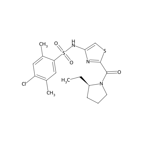 CC[C@@H]1CCCN1C(=O)c1nc(NS(=O)(=O)c2cc(C)c(Cl)cc2C)cs1